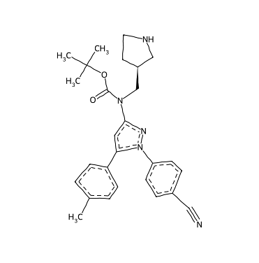 Cc1ccc(-c2cc(N(C[C@H]3CCNC3)C(=O)OC(C)(C)C)nn2-c2ccc(C#N)cc2)cc1